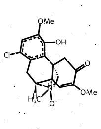 COC1=C[C@H]2[C@H]3Cc4c(Cl)cc(OC)c(O)c4[C@@]2(CC[N+]3(C)[O-])CC1=O